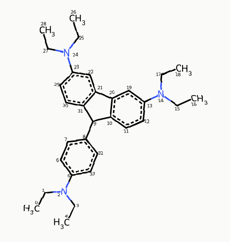 CCN(CC)c1ccc(C2c3ccc(N(CC)CC)cc3-c3cc(N(CC)CC)ccc32)cc1